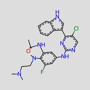 CC(=O)Nc1cc(Nc2ncc(Cl)c(-c3c[nH]c4ccccc34)n2)cc(F)c1N(C)CCN(C)C